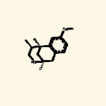 COc1ccc2c(c1)[C@H]1C[C@@H](C2)NC[C@H]1C